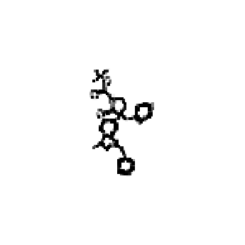 Cc1cn(Cc2ccccc2)c2cc(C3(Cc4ccncc4)CCN(C(=O)OC(C)(C)C)C3=O)ccc12